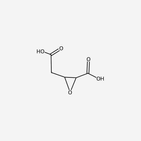 O=C(O)CC1OC1C(=O)O